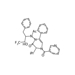 CC(=O)N(C(Cc1ccccc1)C(O)C(F)(F)F)N1C(=O)C(C(C)C)N(C(=O)c2cccnc2)C=C1c1ccccc1